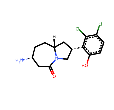 N[C@@H]1CC[C@@H]2C[C@H](c3c(O)ccc(Cl)c3Cl)CN2C(=O)C1